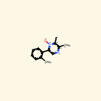 COc1ccccc1-c1cnc(OC)c(C)[n+]1[O-]